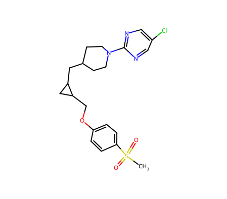 CS(=O)(=O)c1ccc(OCC2CC2CC2CCN(c3ncc(Cl)cn3)CC2)cc1